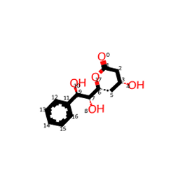 O=C1C[C@H](O)C[C@H]([C@H](O)[C@H](O)c2ccccc2)O1